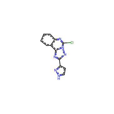 Clc1nc2ccccc2c2nc(-c3cc[nH]n3)nn12